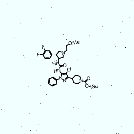 COCCN1C[C@@H](NC(=O)Nc2c(Cl)c(C3CCN(C(=O)OC(C)(C)C)CC3)nn2-c2ccccc2)[C@H](c2ccc(F)c(F)c2)C1